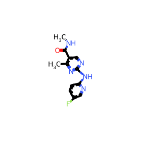 CNC(=O)c1cnc(Nc2ccc(F)cn2)nc1C